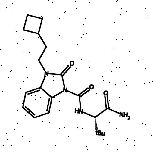 CC(C)(C)[C@H](NC(=O)n1c(=O)n(CCC2CCC2)c2ccccc21)C(N)=O